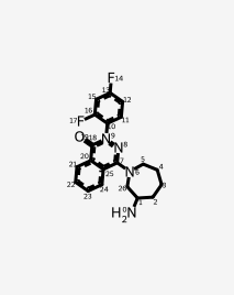 NC1CCCCN(c2nn(-c3ccc(F)cc3F)c(=O)c3ccccc23)C1